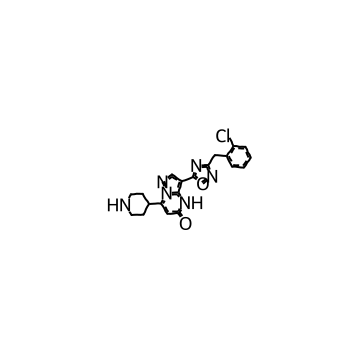 O=c1cc(C2CCNCC2)n2ncc(-c3nc(Cc4ccccc4Cl)no3)c2[nH]1